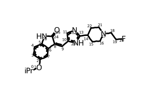 CC(C)Oc1ccc2c(c1)C(=Cc1cnc(C3CCN(CCF)CC3)[nH]1)C(=O)N2